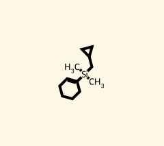 C[Si](C)(CC1CC1)C1=CCCCC1